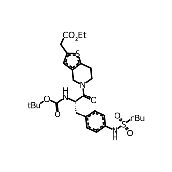 CCCCS(=O)(=O)Nc1ccc(C[C@H](NC(=O)OC(C)(C)C)C(=O)N2CCc3sc(CC(=O)OCC)cc3C2)cc1